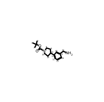 CC(C)(C)OC(=O)N1CC[C](c2cccc(CN)c2)CC1